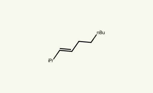 CCCCCCC=CC(C)C